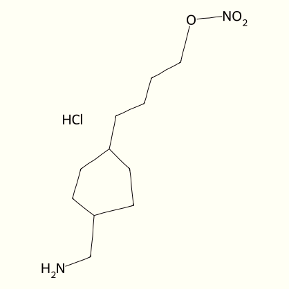 Cl.NCC1CCC(CCCCO[N+](=O)[O-])CC1